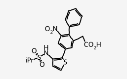 CC(C)S(=O)(=O)Nc1ccsc1-c1cc(CC(=O)O)c(-c2ccccc2)c([N+](=O)[O-])c1